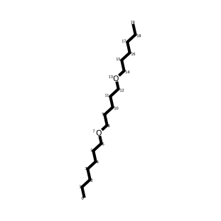 CCCCCCCOCCCCCOCCCCCC